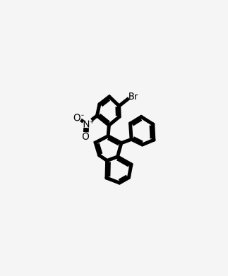 O=[N+]([O-])c1ccc(Br)cc1-c1ccc2ccccc2c1-c1ccccc1